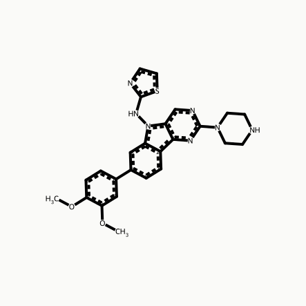 COc1ccc(-c2ccc3c4nc(N5CCNCC5)ncc4n(Nc4nccs4)c3c2)cc1OC